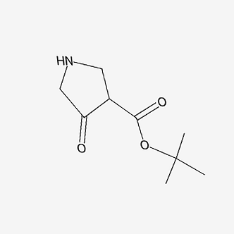 CC(C)(C)OC(=O)C1CNCC1=O